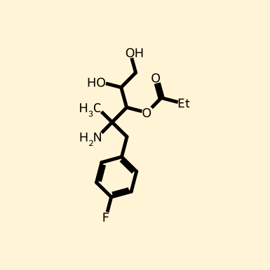 CCC(=O)OC(C(O)CO)C(C)(N)Cc1ccc(F)cc1